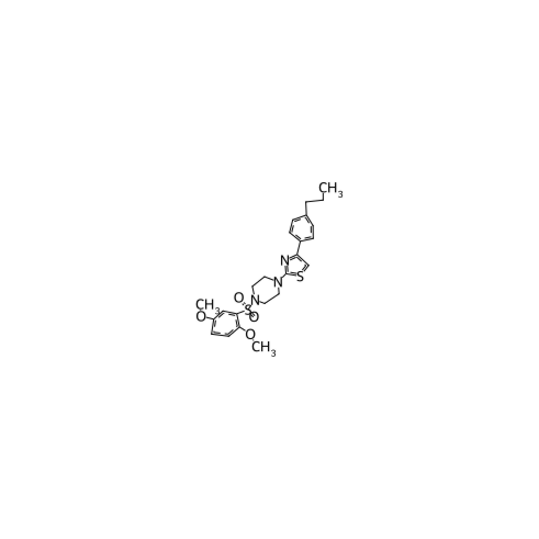 CCCc1ccc(-c2csc(N3CCN(S(=O)(=O)c4cc(OC)ccc4OC)CC3)n2)cc1